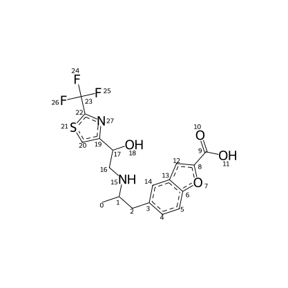 CC(Cc1ccc2oc(C(=O)O)cc2c1)NCC(O)c1csc(C(F)(F)F)n1